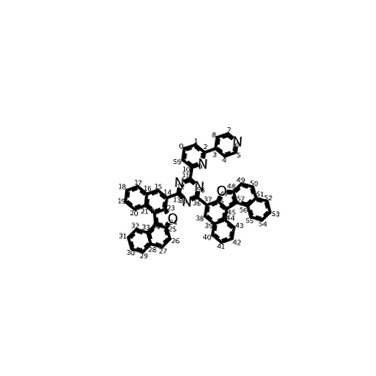 c1cc(-c2ccncc2)nc(-c2nc(-c3cc4ccccc4c4c3oc3ccc5ccccc5c34)nc(-c3cc4ccccc4c4c3oc3ccc5ccccc5c34)n2)c1